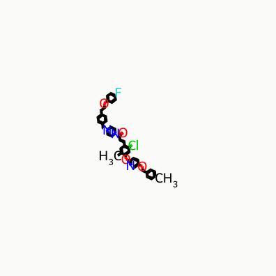 Cc1ccc(COc2ccc(Oc3cc(Cl)c(C=CC(=O)N4CCN(Cc5ccc(CCOc6ccc(F)cc6)cc5)CC4)cc3C)nc2)cc1